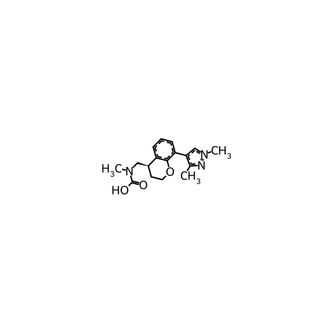 Cc1nn(C)cc1-c1cccc2c1OCC[C@H]2CN(C)C(=O)O